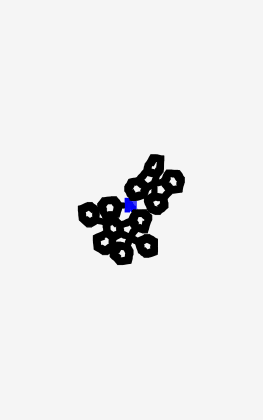 c1ccc(-c2cc3c(c4ccccc24)C(c2ccccc2)(c2ccccc2)c2cccc(N(c4ccccc4)c4ccc5c(c4)C4(c6ccccc6-c6ccccc64)c4ccccc4-5)c2-3)cc1